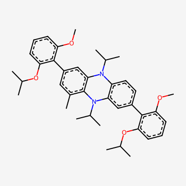 COc1cccc(OC(C)C)c1-c1ccc2c(c1)N(C(C)C)c1c(C)cc(-c3c(OC)cccc3OC(C)C)cc1N2C(C)C